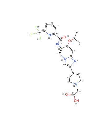 CC(C)Oc1cc2nc(C3CCN(CC(=O)O)CC3)cn2cc1NC(=O)c1cccc(C(F)(F)F)n1